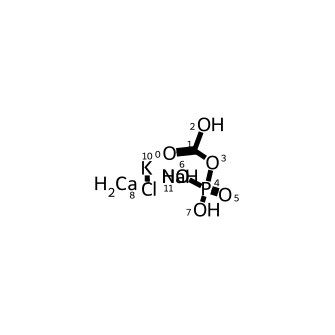 O=C(O)OP(=O)(O)O.[CaH2].[Cl][K].[NaH]